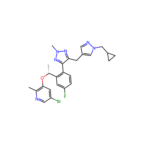 Cc1ncc(Br)cc1O[C@H](C)c1cc(F)ccc1-c1nn(C)nc1Cc1cnn(CC2CC2)c1